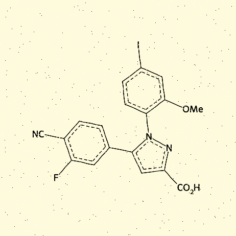 COc1cc(I)ccc1-n1nc(C(=O)O)cc1-c1ccc(C#N)c(F)c1